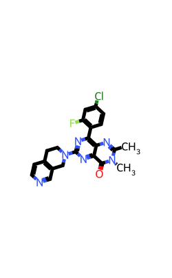 Cc1nc2c(-c3ccc(Cl)cc3F)nc(N3CCc4ccncc4C3)nc2c(=O)n1C